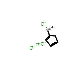 [Cl-].[Cl-].[Cl-].[Cl-].[Nb+4][C]1=CC=CC1